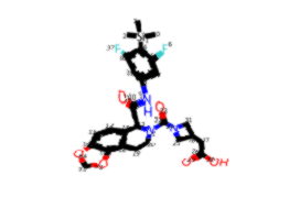 C[Si](C)(C)c1c(F)cc(NC(=O)C2c3ccc4c(c3CCN2C(=O)N2CC(CC(=O)O)C2)OCO4)cc1F